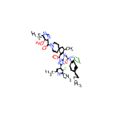 CCc1ccc(NC(=O)Cn2c3c(c(=O)n4nc(-c5cc(C)nc(C)c5F)nc24)C2(CCN(C(=O)c4ncnc(C)c4O)CC2)CC3C)c(Cl)c1